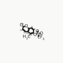 Cc1c(OS(=O)(=O)C(F)(F)F)ccc2oc(=O)ccc12